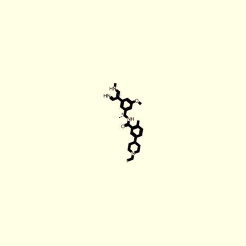 CN/C=C(\C=N)c1cc(OC)cc([C@@H](C)NC(=O)c2cc(C3CCN(CI)CC3)ccc2C)c1